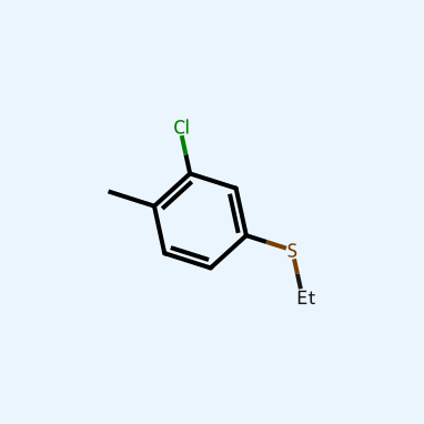 CCSc1ccc(C)c(Cl)c1